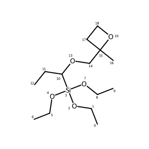 CCO[Si](OCC)(OCC)C(CC)OCC1(C)CCO1